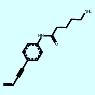 C=CC#Cc1ccc(NC(=O)CCCCN)cc1